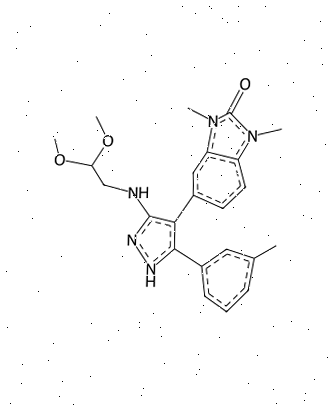 COC(CNc1n[nH]c(-c2cccc(C)c2)c1-c1ccc2c(c1)n(C)c(=O)n2C)OC